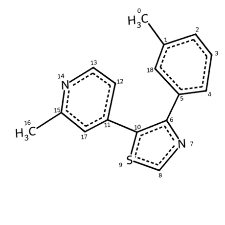 Cc1cccc(-c2ncsc2-c2ccnc(C)c2)c1